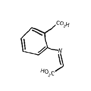 O=C(O)/C=N\c1ccccc1C(=O)O